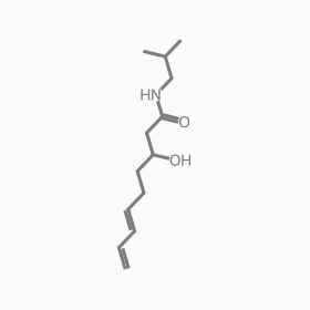 C=CC=CCCC(O)CC(=O)NCC(C)C